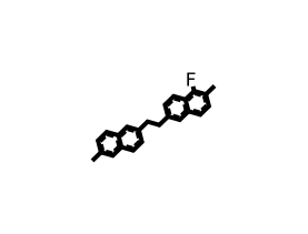 Cc1ccc2cc(CCc3ccc4c(F)c(C)ccc4c3)ccc2c1